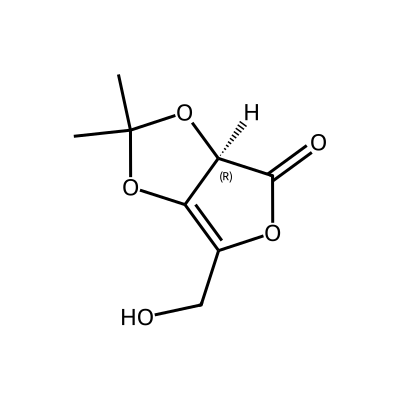 CC1(C)OC2=C(CO)OC(=O)[C@@H]2O1